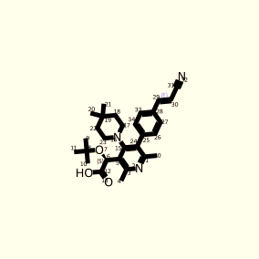 Cc1nc(C)c([C@H](OC(C)(C)C)C(=O)O)c(N2CCC(C)(C)CC2)c1-c1ccc(/C=C/C#N)cc1